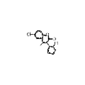 Cc1c(-c2ccccc2Cl)c(=O)oc2ccc(Cl)cc12